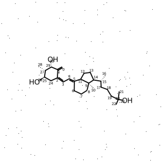 C=C1/C(=C\C=C2/CCC[C@@]3(C)C2CCC3[C@H](C)CCCC(C)(C)O)C[C@@H](O)[C@H](C)[C@@H]1O